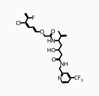 C=C(F)/C(Cl)=C\C=C\OCC(=O)NC(CC(O)CC(=O)NCc1cc(C(F)(F)F)ccn1)C(=C)C